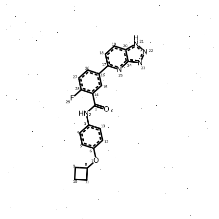 O=C(Nc1ccc(OC2CCC2)cc1)c1cc(-c2ccc3[nH]nnc3n2)ccc1F